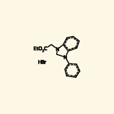 Br.CCOC(=O)CN1CN(c2ccccc2)c2ccccc21